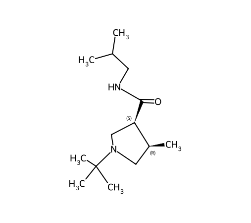 CC(C)CNC(=O)[C@@H]1CN(C(C)(C)C)C[C@@H]1C